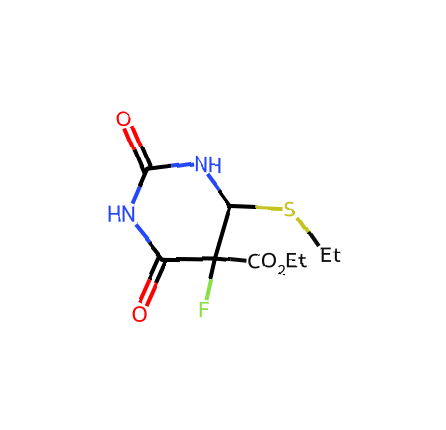 CCOC(=O)C1(F)C(=O)NC(=O)NC1SCC